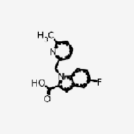 Cc1cccc(Cn2c(C(=O)O)cc3cc(F)ccc32)n1